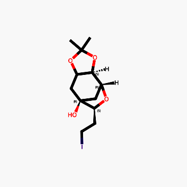 CC1(C)OC2C[C@]3(O)C[C@@H](O[C@H]3CCI)[C@@H]2O1